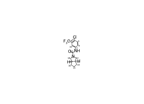 O=C(Nc1ccc(Cl)c(C(F)(F)F)c1)N1C[C@H]2CCC[C@H]2C1